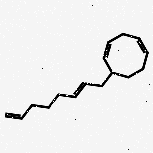 C=CCCCC=CCC1C=CCC=CCC1